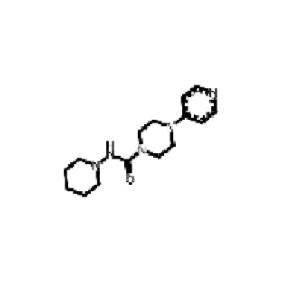 O=C(NN1CCCCC1)N1CCN(c2ccncc2)CC1